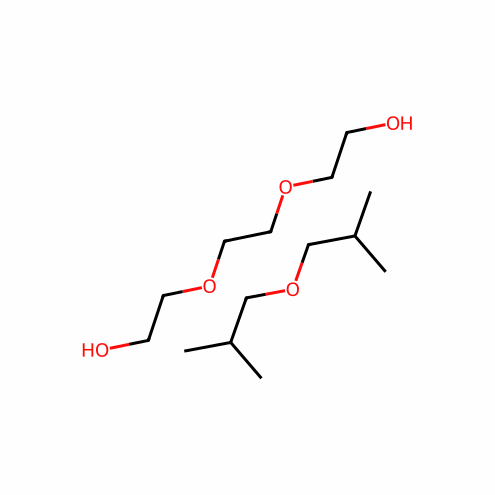 CC(C)COCC(C)C.OCCOCCOCCO